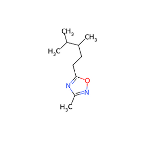 Cc1noc(CCC(C)C(C)C)n1